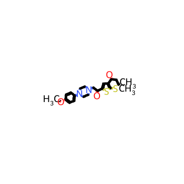 COc1ccc(N2CCN(CC(=O)c3cc4c(s3)SC(C)(C)CC4=O)CC2)cc1